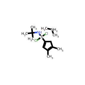 CC1=C(C)C[C]([Ti]([Cl])([Cl])[NH]C(C)(C)C)=C1.C[SiH2]C